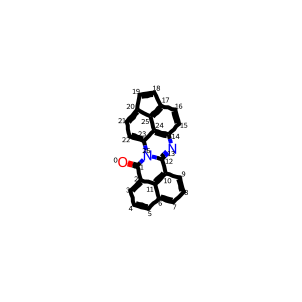 O=c1c2cccc3cccc(c32)c2nc3ccc4ccc5ccc(c3c45)n12